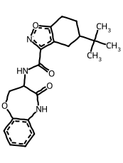 CC(C)(C)C1CCc2onc(C(=O)NC3COc4ccccc4NC3=O)c2C1